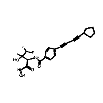 CC(O)(C(F)F)C(NC(=O)c1ccc(C#CC#CC2CCCC2)cc1)C(=O)NO